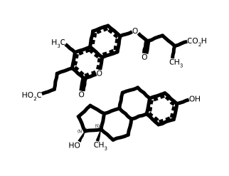 C[C@]12CCC3c4ccc(O)cc4CCC3C1CC[C@@H]2O.Cc1c(CCC(=O)O)c(=O)oc2cc(OC(=O)CC(C)C(=O)O)ccc12